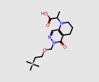 CC(C(=O)O)N1CCCc2c1cnn(COCC[Si](C)(C)C)c2=O